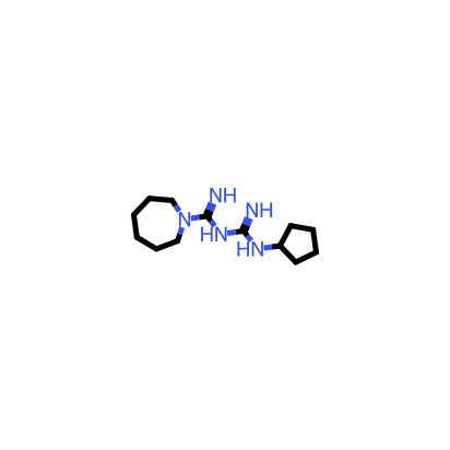 N=C(NC(=N)N1CCCCCC1)NC1CCCC1